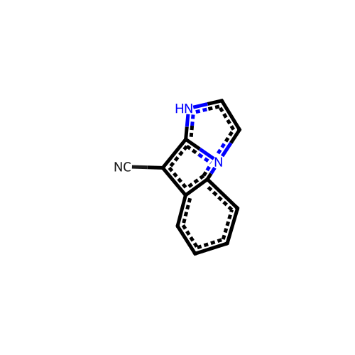 N#Cc1c2ccccc2n2cc[nH]c12